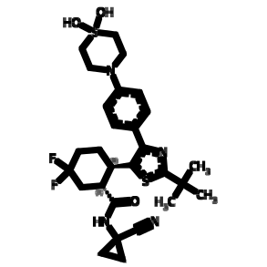 CC(C)(C)c1nc(-c2ccc(N3CCS(O)(O)CC3)cc2)c([C@@H]2CCC(F)(F)C[C@H]2C(=O)NC2(C#N)CC2)s1